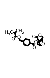 C=C(C)C(=O)OCC1CCC(C(=O)OC2C3CC4C(=O)OC2C4O3)CC1